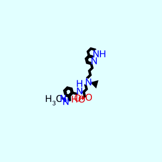 Cn1ncc2c(C(=O)NC(CCN(CCCCc3ccc4c(n3)NCCC4)C3CC3)C(=O)O)cccc21